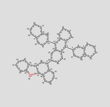 c1ccc2cc(-c3c4ccccc4c(-c4ccc5ccccc5c4)c4cc(-c5cc6c7ccccc7oc6c6ccccc56)ccc34)ccc2c1